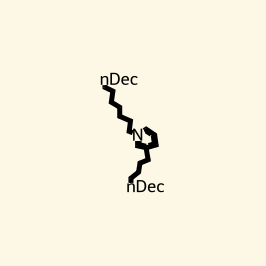 CCCCCCCCCCCCCCCCC[n+]1cccc(CCCCCCCCCCCCCC)c1